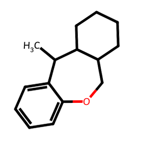 CC1c2ccccc2OCC2CCCCC21